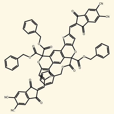 N#Cc1cc2c(cc1C#N)C(=O)C(=Cc1cc3c(s1)-c1cc4c(cc1C(C(=O)OCc1ccccc1)(C(=O)OCc1ccccc1)O3)-c1sc(C=C3C(=O)c5cc(C#N)c(C#N)cc5C3=O)cc1OC4(C(=O)OCc1ccccc1)C(=O)OCc1ccccc1)C2=O